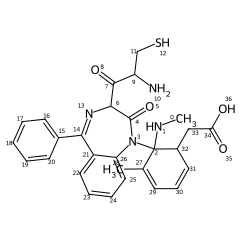 CNC1(N2C(=O)C(C(=O)C(N)CS)N=C(c3ccccc3)c3ccccc32)C(C)=CC=CC1CC(=O)O